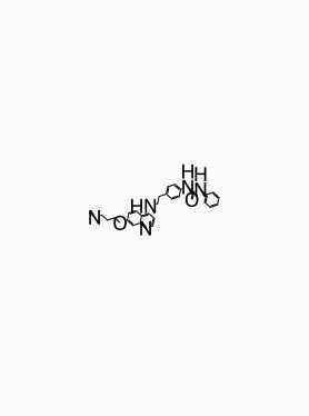 CN(C)CCCOc1ccc2c(NCCc3ccc(NC(=O)Nc4ccccc4)cc3)ccnc2c1